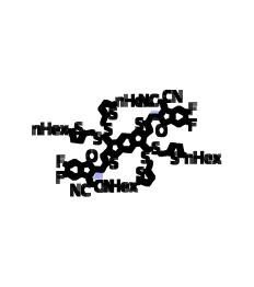 CCCCCCc1ccc(CSC(SCc2ccc(CCCCCC)s2)=C2c3cc4c(cc3-c3sc(/C=C5\C(=O)c6cc(F)c(F)cc6C5=C(C#N)C#N)cc32)C(=C(SCc2ccc(CCCCCC)s2)SCc2ccc(CCCCCC)s2)c2cc(/C=C3\C(=O)c5cc(F)c(F)cc5C3=C(C#N)C#N)sc2-4)s1